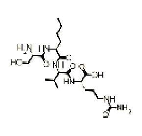 CCCC[C@H](NC(=O)[C@@H](N)CO)C(=O)N[C@H](C(=O)N[C@@H](CCCNC(N)=O)C(=O)O)C(C)C